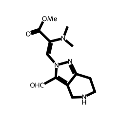 COC(=O)/C(=C/n1nc2c(c1C=O)CNCC2)N(C)C